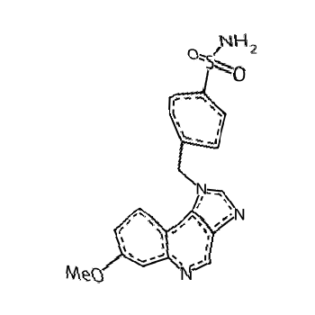 COc1ccc2c(c1)ncc1ncn(Cc3ccc(S(N)(=O)=O)cc3)c12